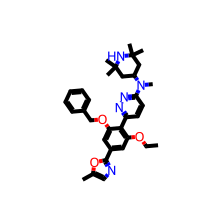 CCOc1cc(-c2ncc(C)o2)cc(OCc2ccccc2)c1-c1ccc(N(C)C2CC(C)(C)NC(C)(C)C2)nn1